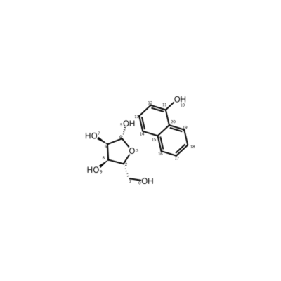 OC[C@H]1O[C@@H](O)[C@H](O)[C@@H]1O.Oc1cccc2ccccc12